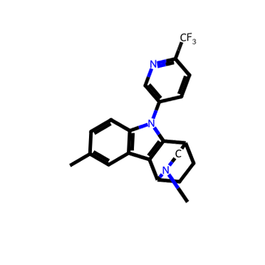 Cc1ccc2c(c1)c1c(n2-c2ccc(C(F)(F)F)nc2)C2CCC1N(C)C2